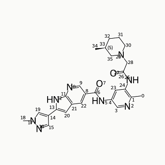 Cc1ncc(NC(=O)c2cnc3[nH]c(-c4cnn(C)c4)cc3c2)cc1NC(=O)CN1CCC[C@H](C)C1